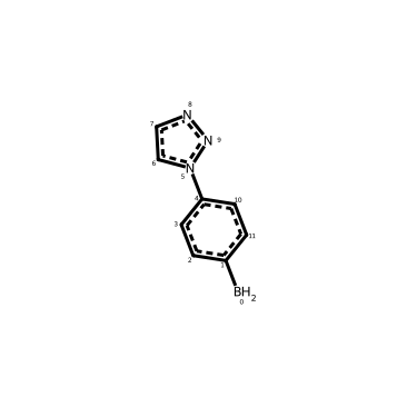 Bc1ccc(-n2ccnn2)cc1